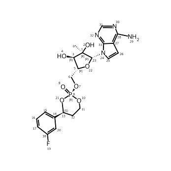 C[C@@]1(O)[C@H](O)[C@@H](CO[P@@]2(=O)OCC[C@@H](c3cccc(F)c3)O2)O[C@H]1n1ccc2c(N)ncnc21